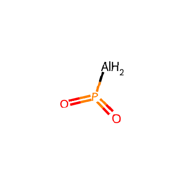 O=[P](=O)[AlH2]